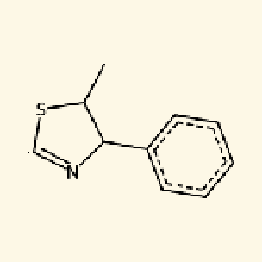 CC1S[C]=NC1c1ccccc1